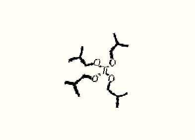 CC(C)C[O][Ti]([O]CC(C)C)([O]CC(C)C)[O]CC(C)C